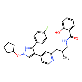 CC(CNC(=O)c1ccccc1O)Cc1cc(-c2cn(OC3CCCC3)nc2-c2ccc(F)cc2)ccn1